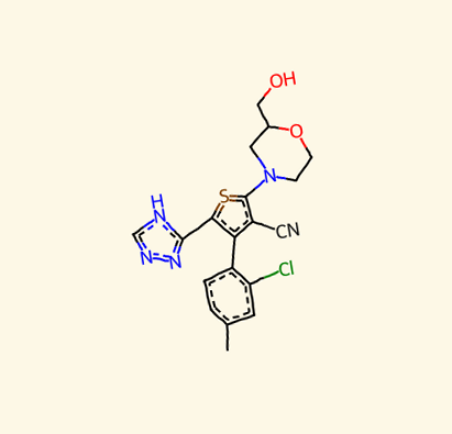 Cc1ccc(-c2c(-c3nnc[nH]3)sc(N3CCOC(CO)C3)c2C#N)c(Cl)c1